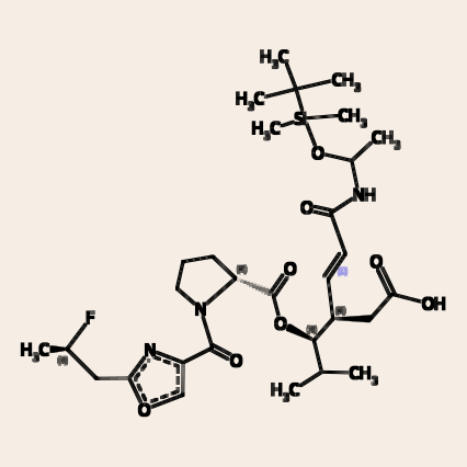 CC(NC(=O)/C=C/[C@@H](CC(=O)O)[C@H](OC(=O)[C@H]1CCCN1C(=O)c1coc(C[C@@H](C)F)n1)C(C)C)O[Si](C)(C)C(C)(C)C